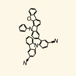 N#Cc1ccc(-n2c3ccccc3c3cc(C#N)ccc32)c(-c2ccc3c(c2)c2ccc4c5ccccc5oc4c2n3-c2ccccc2)c1